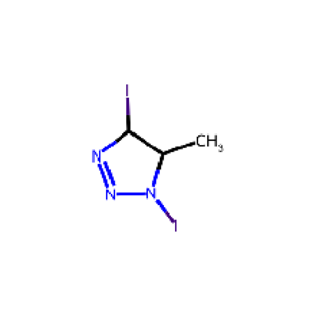 CC1C(I)N=NN1I